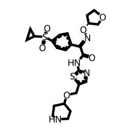 O=C(Nc1ncc(COC2CCNCC2)s1)/C(=N/O[C@@H]1CCOC1)c1ccc(S(=O)(=O)C2CC2)cc1